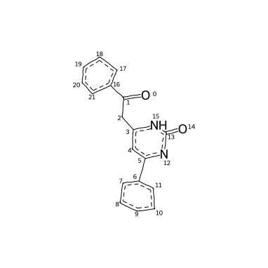 O=C(Cc1cc(-c2ccccc2)nc(=O)[nH]1)c1ccccc1